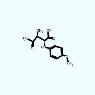 COc1ccc(N[C@H](C(=O)O)[C@H](C)C(C)=O)cc1